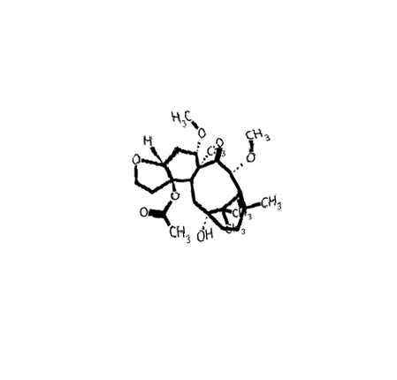 CO[C@H]1C(=O)[C@@]2(C)C(C[C@]3(O)CCC(C)=C1C3(C)C)[C@]1(OC(C)=O)CCO[C@@H]1C[C@@H]2OC